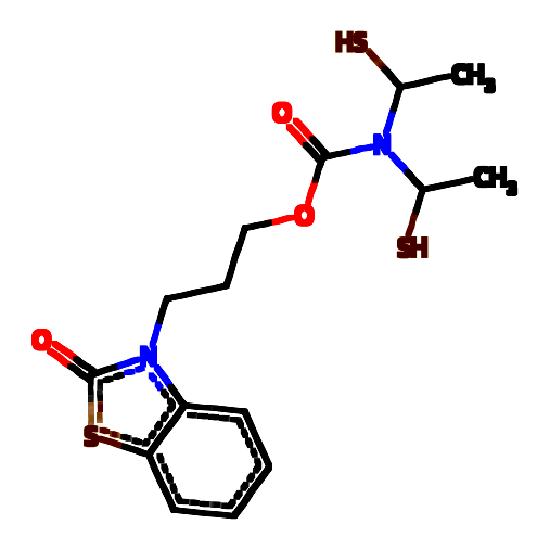 CC(S)N(C(=O)OCCCn1c(=O)sc2ccccc21)C(C)S